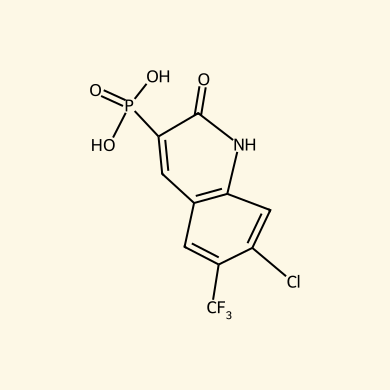 O=c1[nH]c2cc(Cl)c(C(F)(F)F)cc2cc1P(=O)(O)O